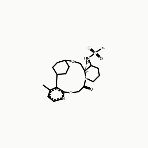 Cc1ccnc2c1C1CCC(CC1)OC[C@H]1C(NS(=O)(=O)C(C)C)CCCN1C(=O)CO2